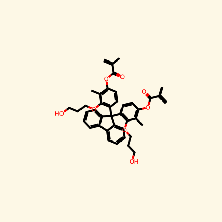 C=C(C)C(=O)Oc1ccc(C2(c3ccc(OC(=O)C(=C)C)c(C)c3OCCCO)c3ccccc3-c3ccccc32)c(OCCCO)c1C